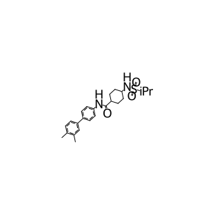 Cc1ccc(-c2ccc(NC(=O)C3CCC(NS(=O)(=O)C(C)C)CC3)cc2)cc1C